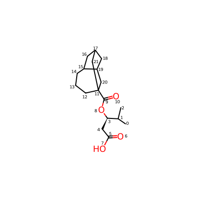 CC(C)[C@@H](CC(=O)O)OC(=O)C12CCCC3CC(CC3C1)C2